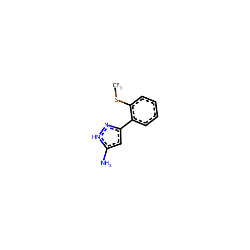 Nc1cc(-c2ccccc2SC(F)(F)F)n[nH]1